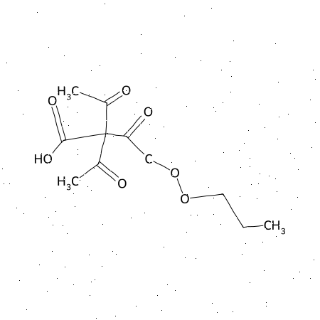 CCCOOCC(=O)C(C(C)=O)(C(C)=O)C(=O)O